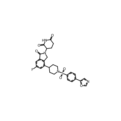 O=C1CCC(N2Cc3c(cc(F)cc3C3CCN(S(=O)(=O)c4ccc(-c5cnco5)cc4)CC3)C2=O)C(=O)N1